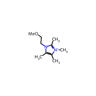 COCCn1c(C)c(C)[n+](C)c1C